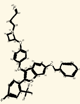 CC(F)(F)c1cc(F)ccc1-c1sc2cc(OCc3ccccc3)ccc2c1Oc1ccc(OC2CCN2CCCF)cc1